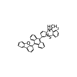 C=C1NC2C=CC(c3c4ccccc4c(-c4cccc5c4oc4ccccc45)c4ccccc34)=CN2Sc2ccccc21